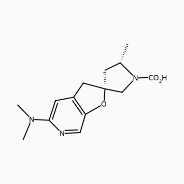 C[C@H]1C[C@]2(Cc3cc(N(C)C)ncc3O2)CN1C(=O)O